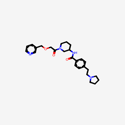 O=C(NC1CCCN(C(=O)COCc2cccnc2)C1)c1ccc(CCN2CCCC2)cc1